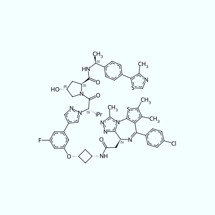 Cc1ncsc1-c1ccc([C@H](C)NC(=O)[C@@H]2C[C@@H](O)CN2C(=O)[C@H](C(C)C)n2cc(-c3cc(F)cc(O[C@H]4C[C@@H](NC(=O)C[C@@H]5N=C(c6ccc(Cl)cc6)c6c(sc(C)c6C)-n6c(C)nnc65)C4)c3)cn2)cc1